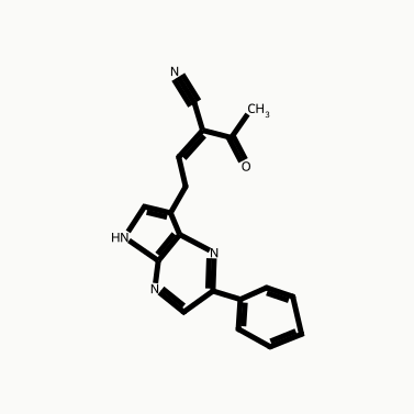 CC(=O)C(C#N)=CCc1c[nH]c2ncc(-c3ccccc3)nc12